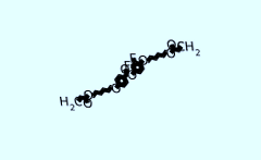 C=CC(=O)OCCCCCCOc1ccc(C(=O)Oc2ccc(OCCCCCCOC(=O)C=C)c(F)c2F)cc1